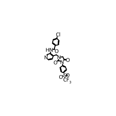 O=C(Nc1cnccc1CN1CC(=O)N(c2ccc(S(=O)(=O)C(F)(F)F)cc2)C1=O)c1ccc(Cl)cc1